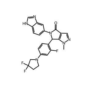 Cn1ncc2c1C(c1ccc(N3CCC(F)(F)C3)cc1F)N(c1ccc3[nH]cnc3c1)C2=O